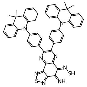 CC1(C)C2=C(CCC=C2)N(c2ccc(-c3nc4c(nc3-c3ccc(N5c6ccccc6C(C)(C)c6ccccc65)cc3)/C(=N/S)C(=N)c3nsnc3-4)cc2)c2ccccc21